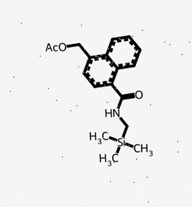 CC(=O)OCc1ccc(C(=O)NC[Si](C)(C)C)c2ccccc12